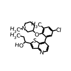 CCC(O)c1cc2nccc(-c3cc(Cl)cc(C)c3OC3CCCN(C)C3)c2s1